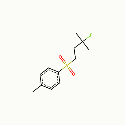 Cc1ccc(S(=O)(=O)CCC(C)(C)F)cc1